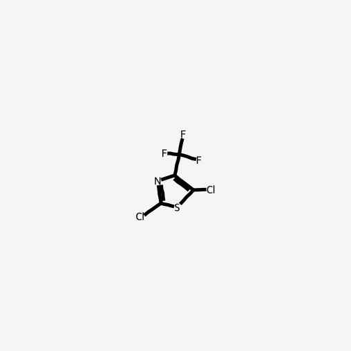 FC(F)(F)c1nc(Cl)sc1Cl